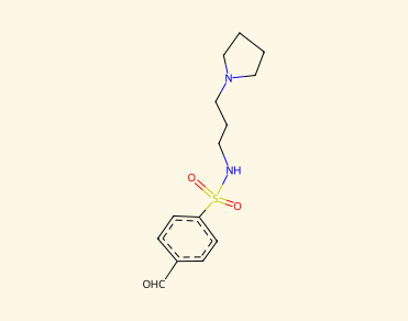 O=Cc1ccc(S(=O)(=O)NCCCN2CCCC2)cc1